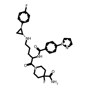 NC(=O)C1(F)CCN(C(=O)C(CCCN[C@@H]2C[C@H]2c2ccc(F)cc2)NC(=O)c2ccc(-n3cccn3)cc2)CC1